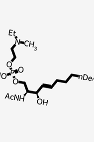 CCCCCCCCCCCCC/C=C/[C@@H](O)[C@H](COP(=O)(O)OCCN(C)CC)NC(C)=O